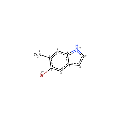 O=[N+]([O-])c1cc2[nH]ccc2cc1Br